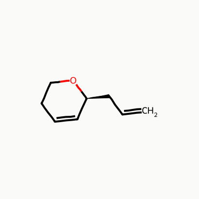 C=CC[C@H]1C=CCCO1